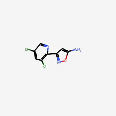 Nc1cc(-c2ncc(Cl)cc2Cl)no1